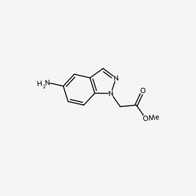 COC(=O)Cn1ncc2cc(N)ccc21